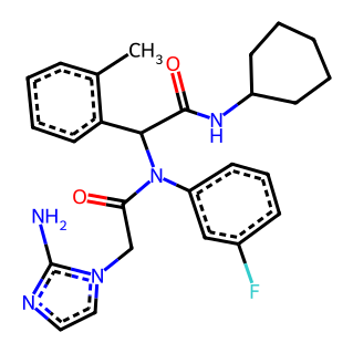 Cc1ccccc1C(C(=O)NC1CCCCC1)N(C(=O)Cn1ccnc1N)c1cccc(F)c1